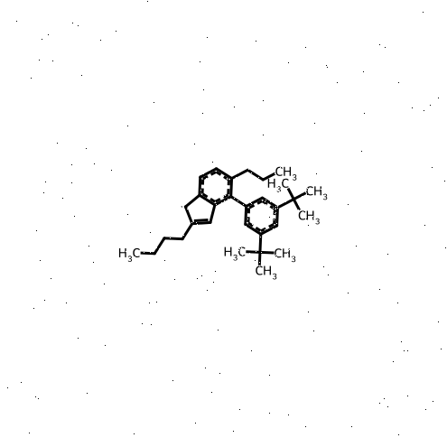 CCCCC1=Cc2c(ccc(CCC)c2-c2cc(C(C)(C)C)cc(C(C)(C)C)c2)[CH]1